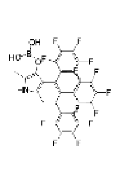 Cc1[nH]c2cc(-c3c(F)c(F)c(F)c(F)c3F)c(-c3c(F)c(F)c(F)c(F)c3F)c(-c3c(F)c(F)c(F)c(F)c3F)c2c1OB(O)O